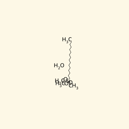 CCCCCCCCCCCCCCCC[Si](OC)(OC)OC.O